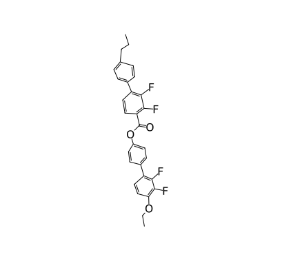 CCCc1ccc(-c2ccc(C(=O)Oc3ccc(-c4ccc(OCC)c(F)c4F)cc3)c(F)c2F)cc1